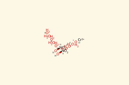 O.O.O.O.O.O.O.O.O.O=[N+]([O-])[O-].O=[N+]([O-])[O-].[Cr+2]